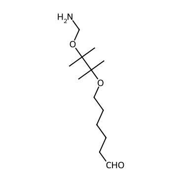 CC(C)(OCN)C(C)(C)OCCCCCC=O